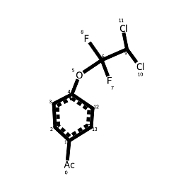 CC(=O)c1ccc(OC(F)(F)C(Cl)Cl)cc1